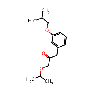 CC(C)COc1cccc(CC(=O)COC(C)C)c1